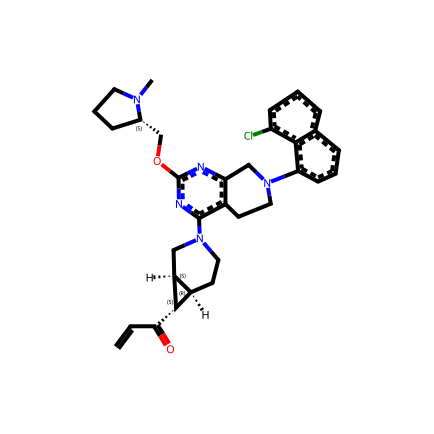 C=CC(=O)[C@H]1[C@@H]2CCN(c3nc(OC[C@@H]4CCCN4C)nc4c3CCN(c3cccc5cccc(Cl)c35)C4)C[C@@H]21